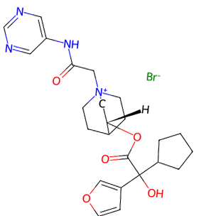 O=C(C[N+]12CCC(CC1)[C@@H](OC(=O)C(O)(c1ccoc1)C1CCCC1)C2)Nc1cncnc1.[Br-]